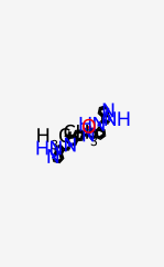 CC1(C)CN(Cc2c[nH]c3ncccc23)Cc2cc(N3Cc4cccc(Nc5c[nH]c6ncccc56)c4C3=O)ccc21